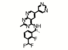 Cc1nc(N[C@H](C)c2cccc(C(F)F)c2F)c2cc(-c3cncnc3)cnc2n1